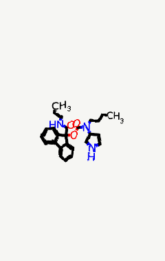 CCCCN(C(=O)OC1(C(=O)NCCC)c2ccccc2-c2ccccc21)C1CCNC1